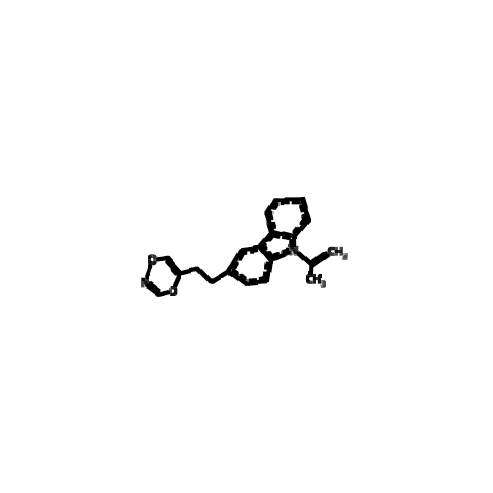 C=C(C)n1c2ccccc2c2cc(CCC3=CON=CO3)ccc21